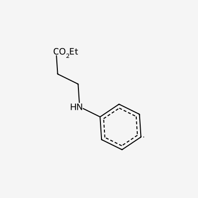 CCOC(=O)CCNc1cc[c]cc1